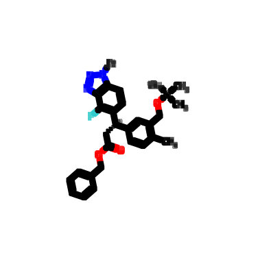 CCn1nnc2c(F)c([C@@H](CC(=O)OCc3ccccc3)c3ccc(C)c(CO[Si](C)(C)C(C)(C)C)c3)ccc21